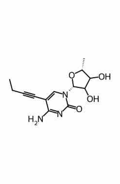 CCC#Cc1cn([C@@H]2O[C@H](C)C(O)C2O)c(=O)nc1N